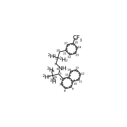 [2H]C([2H])(CN[C@@H](c1cccc2ccccc12)C([2H])([2H])[2H])Cc1cccc(C(F)(F)F)c1